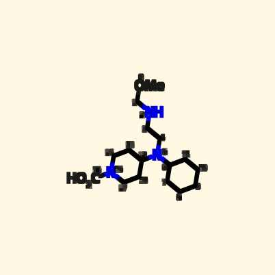 COCNCCN(C1CCCCC1)C1CCN(C(=O)O)CC1